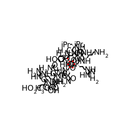 CC(C)C[C@H](NC(=O)[C@H](CCCCN)NC(=O)[C@H](CCCNC(=N)N)NC(=O)[C@H](Cc1ccc(O)cc1)NC(=O)[C@H](CCC(N)=O)NC(=O)[C@H](CCC(N)=O)NC(=O)[C@H](CCCNC(=N)N)NC(=O)[C@@H](NC(=O)[C@@H](C)CC(=O)O)[C@@H](C)O)C(=O)N[C@@H](CC(C)C)C(C)N[C@@H](Cc1ccccc1)C(N)=O